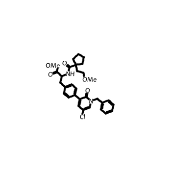 COCCC1(C(=O)NC(Cc2ccc(-c3cc(Cl)cn(Cc4ccccc4)c3=O)cc2)C(=O)OC)CCCC1